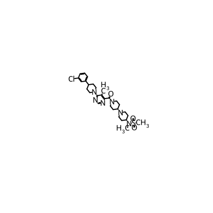 Cc1c(C(=O)N2CCC(N3CCC(N(C)S(C)(=O)=O)CC3)CC2)ncnc1N1CCC(c2cccc(Cl)c2)CC1